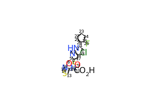 CC(Nc1ncc(S(=O)(=O)N(C(=O)O)c2cscn2)cc1Cl)c1ccccc1F